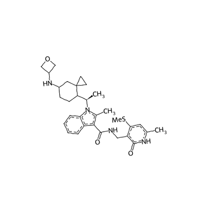 CSc1cc(C)[nH]c(=O)c1CNC(=O)c1c(C)n([C@H](C)C2CCC(NC3COC3)CC23CC3)c2ccccc12